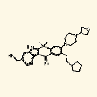 CC1(C)c2cc(N3CCN(C4COC4)CC3)c(CCC3CCCC3)cc2C(=O)c2c1[nH]c1cc(C=N)ccc21